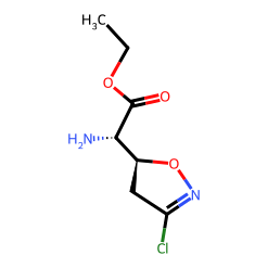 CCOC(=O)[C@@H](N)[C@@H]1CC(Cl)=NO1